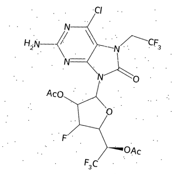 CC(=O)OC1C(F)C([C@@H](OC(C)=O)C(F)(F)F)OC1n1c(=O)n(CC(F)(F)F)c2c(Cl)nc(N)nc21